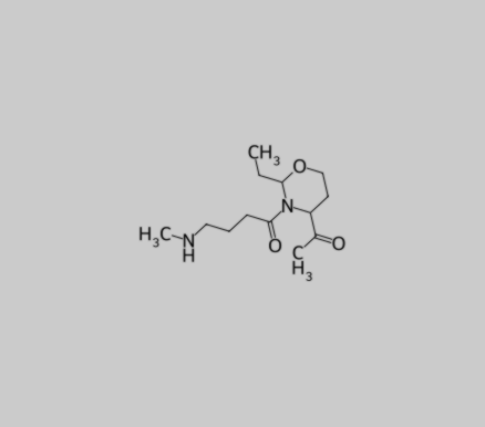 CCC1OCCC(C(C)=O)N1C(=O)CCCNC